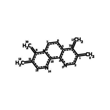 C=c1cnc2c(ccc3c(=C)c(=C)cnc32)c1=C